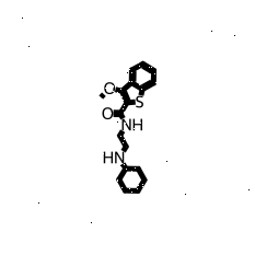 COc1c(C(=O)NCCNC2CCCCC2)sc2ccccc12